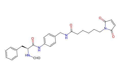 O=CN[C@@H](Cc1ccccc1)C(=O)Nc1ccc(CNC(=O)CCCCCN2C(=O)C=CC2=O)cc1